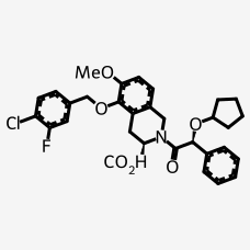 COc1ccc2c(c1OCc1ccc(Cl)c(F)c1)C[C@H](C(=O)O)N(C(=O)[C@@H](OC1CCCC1)c1ccccc1)C2